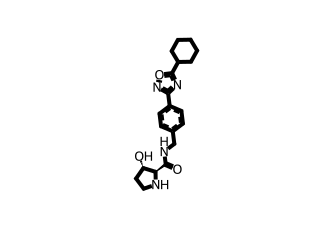 O=C(NCc1ccc(-c2noc(C3CCCCC3)n2)cc1)[C@H]1NCC[C@@H]1O